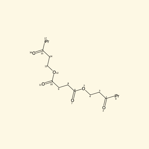 CC(C)C(=O)CCOC(=O)CCC(=O)OCCC(=O)C(C)C